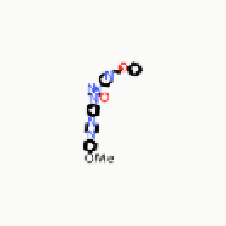 COc1ccc(N2CCN(c3ccc(-n4cnn(C5CCN(CCOc6ccccc6)CC5)c4=O)cc3)CC2)cc1